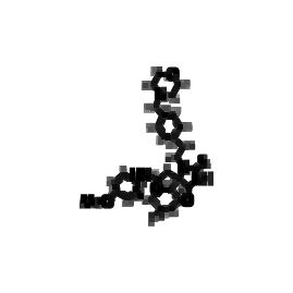 COc1ccc(NC(=O)CC2(c3ccc(F)cc3)C(=O)NC(=S)N2CCc2ccc(CN3CCOCC3)cc2)nc1